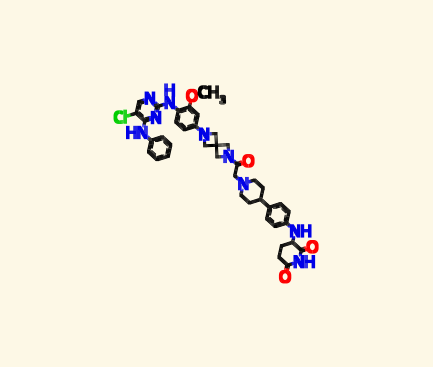 COc1cc(N2CC3(CN(C(=O)CN4CCC(c5ccc(NC6CCC(=O)NC6=O)cc5)CC4)C3)C2)ccc1Nc1ncc(Cl)c(Nc2ccccc2)n1